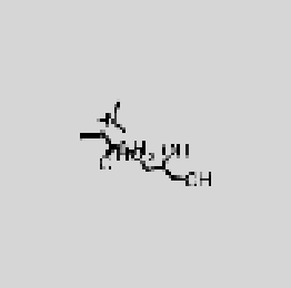 C=CC(N)=O.CN(C)C.OCC(O)CO